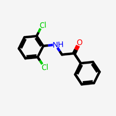 O=C(CNc1c(Cl)cccc1Cl)c1ccccc1